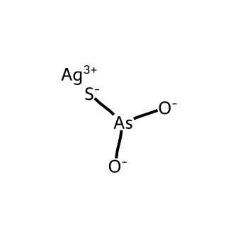 [Ag+3].[O-][As]([O-])[S-]